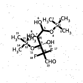 C[Si](C)(C)OC(O)[C@@H](O)[C@](O)(O[Si](C)(C)C)C(F)(F)C=O